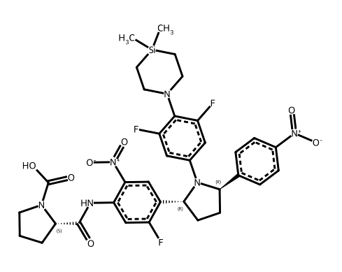 C[Si]1(C)CCN(c2c(F)cc(N3[C@@H](c4ccc([N+](=O)[O-])cc4)CC[C@@H]3c3cc([N+](=O)[O-])c(NC(=O)[C@@H]4CCCN4C(=O)O)cc3F)cc2F)CC1